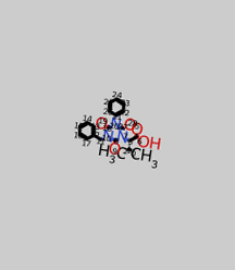 CC(C)[C@@H](C(=O)O)n1c(=O)n(Cc2ccccc2)c(=O)n(-c2ccccc2)c1=O